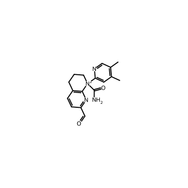 Cc1cnc([N+]2(C(N)=O)CCCc3ccc(C=O)nc32)cc1C